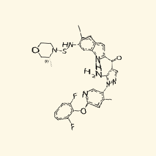 Cc1cc2cc(C(=O)c3cnn(-c4cnc(Oc5c(F)cccc5F)cc4C)c3N)[nH]c2cc1NSN1CCOC[C@H]1C